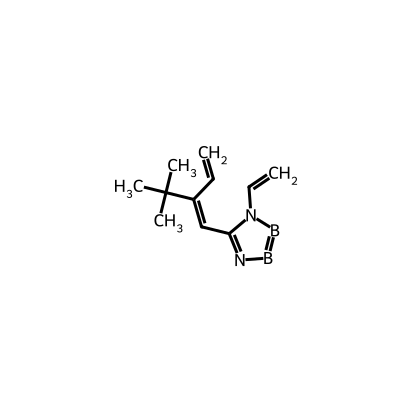 C=C/C(=C\c1nbbn1C=C)C(C)(C)C